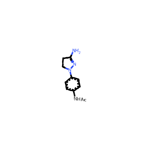 CC(=O)Nc1ccc(N2CCC(N)=N2)cc1